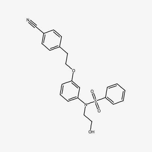 N#Cc1ccc(CCOc2cccc(N(CCO)S(=O)(=O)c3ccccc3)c2)cc1